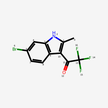 Cc1[nH]c2cc(Br)ccc2c1C(=O)C(F)(F)F